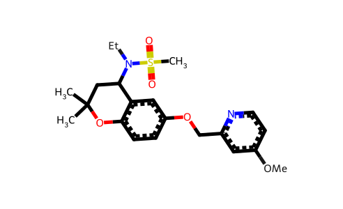 CCN(C1CC(C)(C)Oc2ccc(OCc3cc(OC)ccn3)cc21)S(C)(=O)=O